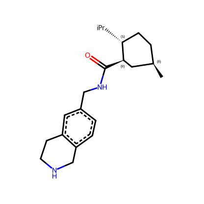 CC(C)[C@@H]1CC[C@@H](C)C[C@H]1C(=O)NCc1ccc2c(c1)CCNC2